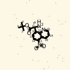 CC(C)(C)OC(=O)[C@@](C)(N)c1ccc([N+](=O)[O-])c2cccnc12